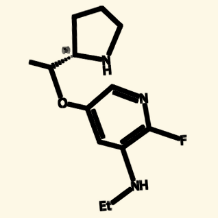 CCNc1cc(OC(C)[C@@H]2CCCN2)cnc1F